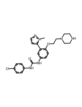 Cn1nccc1-c1cc(NC(=O)Nc2ccc(Cl)cc2)ccc1OCCN1CCNCC1